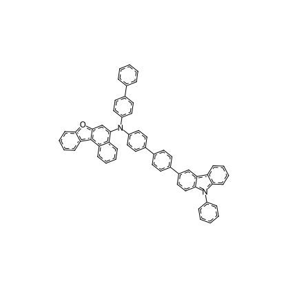 c1ccc(-c2ccc(N(c3ccc(-c4ccc(-c5ccc6c(c5)c5ccccc5n6-c5ccccc5)cc4)cc3)c3cc4oc5ccccc5c4c4ccccc34)cc2)cc1